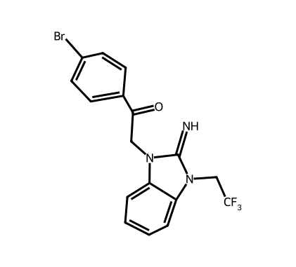 N=c1n(CC(=O)c2ccc(Br)cc2)c2ccccc2n1CC(F)(F)F